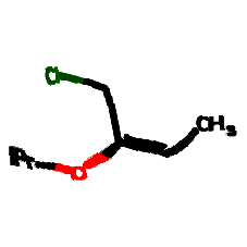 C/C=C(\CCl)OC(C)C